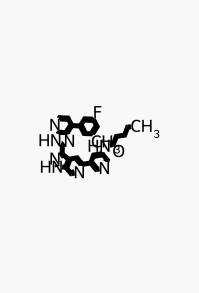 CCCCC(=O)Nc1cncc(-c2cc3c(-c4nc5c(-c6cc(C)cc(F)c6)ccnc5[nH]4)n[nH]c3cn2)c1